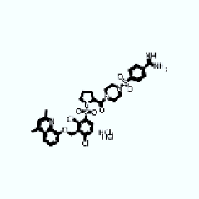 Cc1cc(C)c2cccc(OCc3c(Cl)ccc(S(=O)(=O)N4CCCC4C(=O)N4CCN(S(=O)(=O)c5ccc(C(=N)N)cc5)CC4)c3Cl)c2n1.Cl.Cl